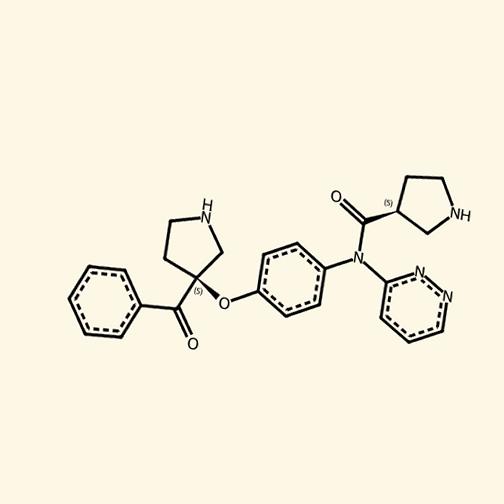 O=C([C@H]1CCNC1)N(c1ccc(O[C@@]2(C(=O)c3ccccc3)CCNC2)cc1)c1cccnn1